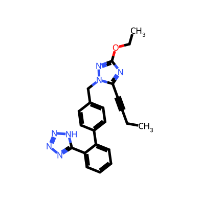 CCC#Cc1nc(OCC)nn1Cc1ccc(-c2ccccc2-c2nnn[nH]2)cc1